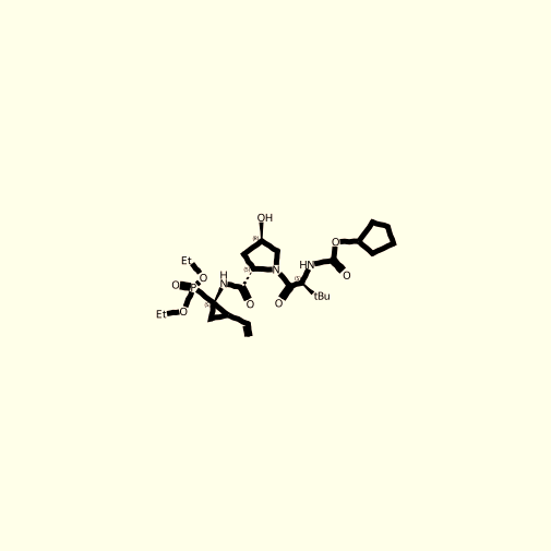 C=CC1C[C@]1(NC(=O)[C@@H]1C[C@@H](O)CN1C(=O)[C@@H](NC(=O)OC1CCCC1)C(C)(C)C)P(=O)(OCC)OCC